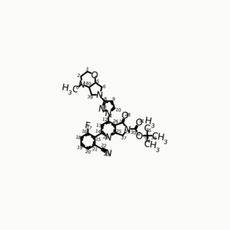 CN1CCOC2CN(c3ccn(-c4cc(-c5c(F)cccc5C#N)nc5c4C(=O)N(C(=O)OC(C)(C)C)C5)n3)CC21